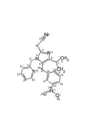 CC(C)c1nc(CC#N)n(Cc2ccccn2)c1Sc1cccc([N+](=O)[O-])c1